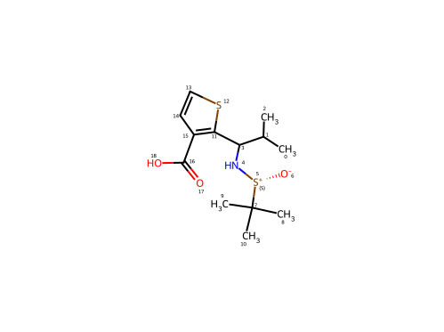 CC(C)C(N[S@+]([O-])C(C)(C)C)c1sccc1C(=O)O